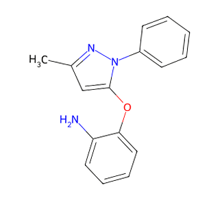 Cc1cc(Oc2ccccc2N)n(-c2ccccc2)n1